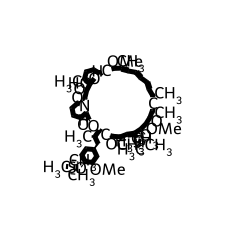 CO[C@H]1C[C@@H]2CC[C@@H](C)[C@@](O)(O2)C(=O)C(=O)N2CCCC[C@H]2C(=O)O[C@H]([C@H](C)C[C@@H]2CC[C@@H](O[Si](C)(C)C)[C@H](OC)C2)CC(=O)[C@H](C)/C=C(\C)[C@@H](O[Si](C)(C)C)[C@@H](OC)C(=O)C(C)C[C@H](C)/C=C/C=C/C=C/1C